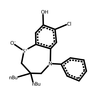 CCCCC1(CCCC)CN(c2ccccc2)c2cc(Cl)c(O)cc2[S+]([O-])C1